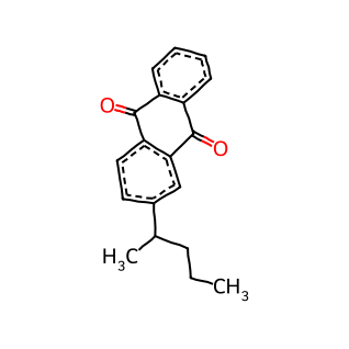 CCCC(C)c1ccc2c(c1)C(=O)c1ccccc1C2=O